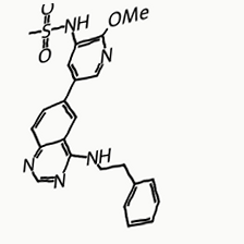 COc1ncc(-c2ccc3ncnc(NCCc4ccccc4)c3c2)cc1NS(C)(=O)=O